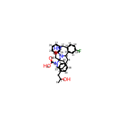 CC(O)Cc1ccc(CC2c3cc(F)ccc3CNC(=O)N2C2(Cc3ccccc3)CCCCN2C(=O)O)cc1